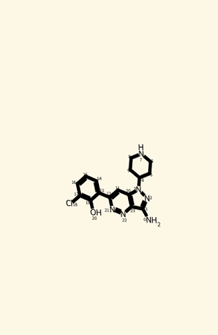 Nc1nn(C2CCNCC2)c2cc(-c3cccc(Cl)c3O)nnc12